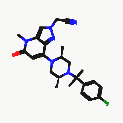 C[C@@H]1CN(c2cc(=O)n(C)c3cn(CC#N)nc23)[C@@H](C)CN1C(C)(C)c1ccc(F)cc1